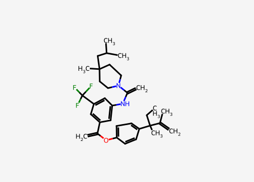 C=C(Oc1ccc(C(C)(CC)C(=C)C)cc1)c1cc(NC(=C)N2CCC(C)(CC(C)C)CC2)cc(C(F)(F)F)c1